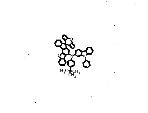 CC(C)(C)c1ccc(N(c2ccc3c4ccccc4n(-c4ccccc4)c3c2)c2cc3c(c4oc5ccccc5c24)-c2ccccc2C32c3ccccc3Oc3ccccc32)cc1